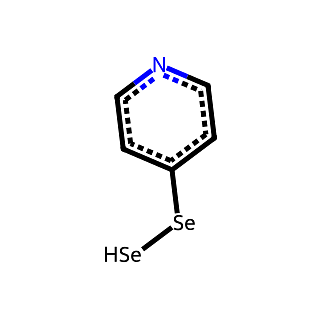 [SeH][Se]c1ccncc1